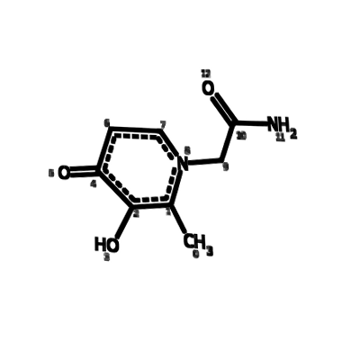 Cc1c(O)c(=O)ccn1CC(N)=O